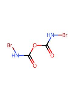 O=C(NBr)OC(=O)NBr